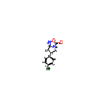 O=c1onc2n1CC(c1ccc(Br)cc1)C2